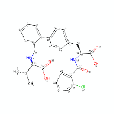 CC(C)[C@@H](NCc1ccccc1-c1ccc(C[C@H](NC(=O)c2ccccc2Cl)C(=O)O)cc1)C(=O)O